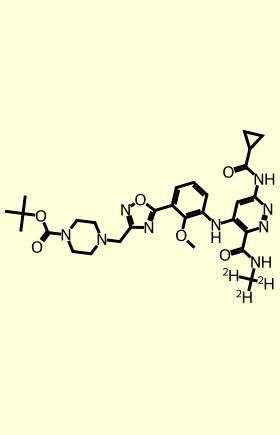 [2H]C([2H])([2H])NC(=O)c1nnc(NC(=O)C2CC2)cc1Nc1cccc(-c2nc(CN3CCN(C(=O)OC(C)(C)C)CC3)no2)c1OC